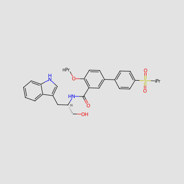 CCCOc1ccc(-c2ccc(S(=O)(=O)C(C)C)cc2)cc1C(=O)N[C@H](CO)Cc1c[nH]c2ccccc12